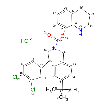 CC(C)(C)c1ccc(CN(CCc2ccc(Cl)c(Cl)c2)C(=O)Oc2cccc3c2NCCC3)cc1.Cl